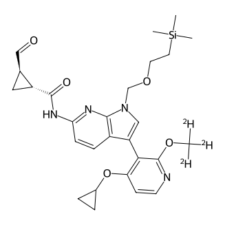 [2H]C([2H])([2H])Oc1nccc(OC2CC2)c1-c1cn(COCC[Si](C)(C)C)c2nc(NC(=O)[C@@H]3C[C@H]3C=O)ccc12